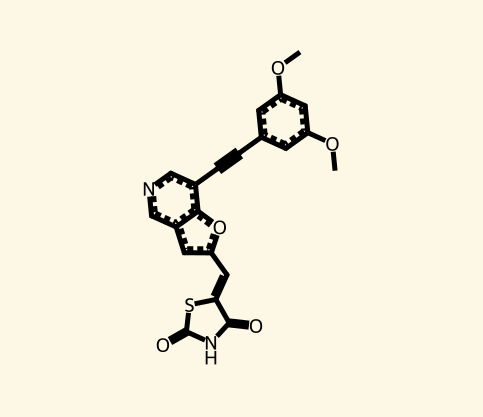 COc1cc(C#Cc2cncc3cc(/C=C4\SC(=O)NC4=O)oc23)cc(OC)c1